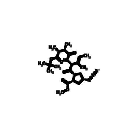 C/C=C(\C)[C@H](NC(=O)[C@H](C)N(C)C(=O)OC(C)(C)C)C(=O)N1C[C@@H](N=[N+]=[N-])C[C@H]1C(=O)OC